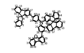 c1ccc2c(c1)CC1(C2)c2ccccc2-c2ccc(-c3ccc(N(c4ccc(-c5cccc6c5oc5ccccc56)cc4)c4ccc5c(c4)C4(c6ccccc6-c6ccccc64)c4ccccc4-5)cc3)cc21